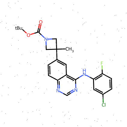 CC(C)(C)OC(=O)N1CC(C)(c2ccc3ncnc(Nc4cc(Cl)ccc4F)c3c2)C1